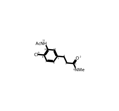 CNC(=O)CCc1ccc(Cl)c(NC(C)=O)c1